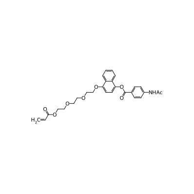 C=CC(=O)OCCOCCOCCOc1ccc(OC(=O)c2ccc(NC(C)=O)cc2)c2ccccc12